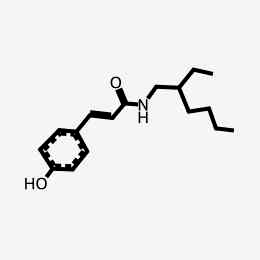 CCCCC(CC)CNC(=O)/C=C/c1ccc(O)cc1